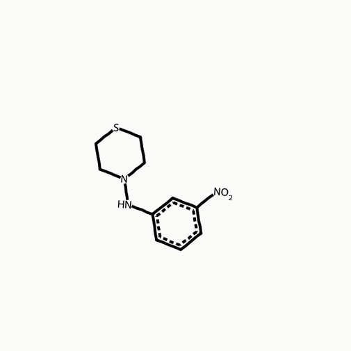 O=[N+]([O-])c1cccc(NN2CCSCC2)c1